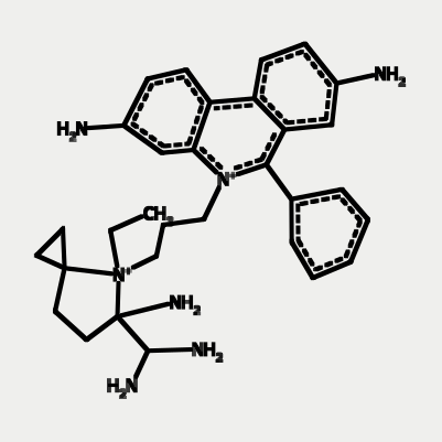 CC[N+]1(CCC[n+]2c(-c3ccccc3)c3cc(N)ccc3c3ccc(N)cc32)C2(CC2)CCC1(N)C(N)N